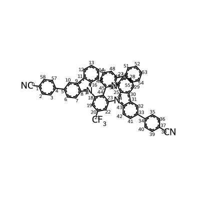 N#Cc1ccc(-c2ccc3c(c2)c2ccccc2n3-c2cc(C(F)(F)F)cc(-n3c4ccccc4c4cc(-c5ccc(C#N)cc5)ccc43)c2-c2cccc(-c3ccccc3)n2)cc1